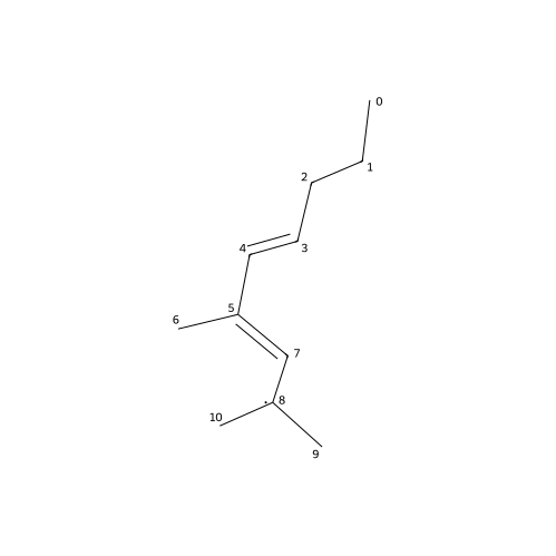 CCCC=CC(C)=C[C](C)C